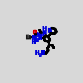 C=C/C(=C\C=C/N)c1cc(N)c(NC(=C)NC(=O)NCC)c(-c2ccccn2)c1